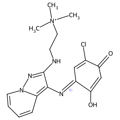 C[N+](C)(C)CCNc1nn2ccccc2c1/N=C1\C=C(Cl)C(=O)C=C1O